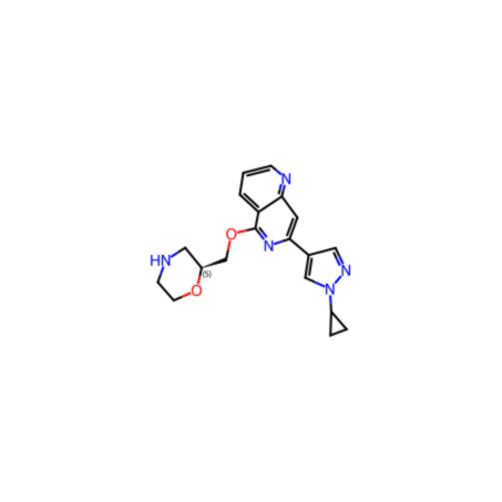 c1cnc2cc(-c3cnn(C4CC4)c3)nc(OC[C@@H]3CNCCO3)c2c1